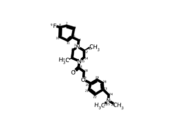 C[C@@H]1CN(Cc2ccc(F)cc2)[C@@H](C)CN1C(=O)COc1ccc(CN(C)C)cc1